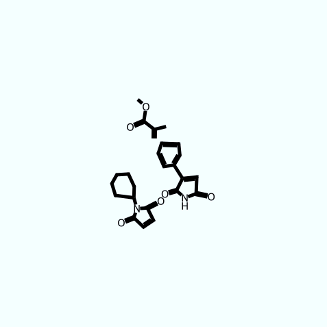 C=C(C)C(=O)OC.O=C1C=C(c2ccccc2)C(=O)N1.O=C1C=CC(=O)N1C1CCCCC1